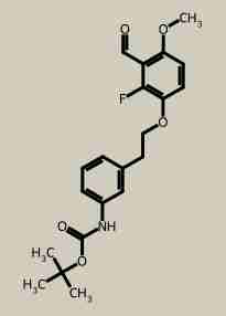 COc1ccc(OCCc2cccc(NC(=O)OC(C)(C)C)c2)c(F)c1C=O